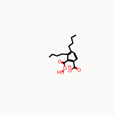 CCCCc1ccc(C(=O)O)c(C(=O)OO)c1CCCC